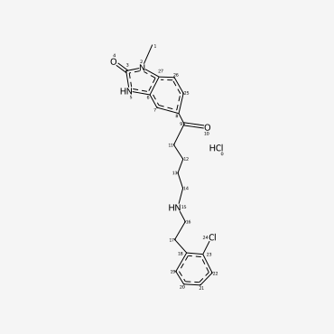 Cl.Cn1c(=O)[nH]c2cc(C(=O)CCCCNCCc3ccccc3Cl)ccc21